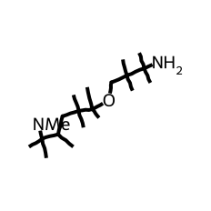 CNC(C)(C)C(C)CC(C)(C)C(C)(C)OCC(C)(C)C(C)(C)N